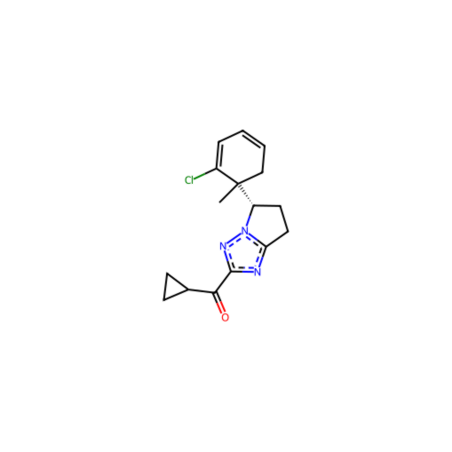 CC1([C@@H]2CCc3nc(C(=O)C4CC4)nn32)CC=CC=C1Cl